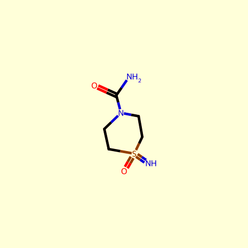 N=S1(=O)CCN(C(N)=O)CC1